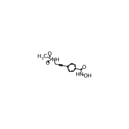 CS(=O)(=O)NCC#Cc1ccc(C(=O)NO)cc1